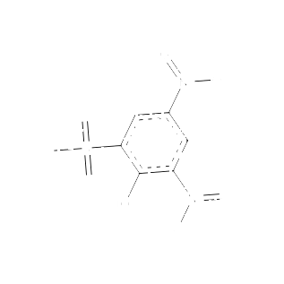 CS(=O)(=O)c1cc([N+](=O)[O-])cc([N+](=O)[O-])c1O